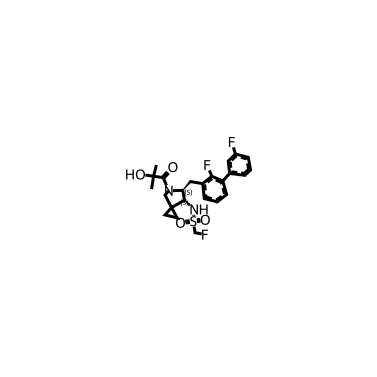 CC(C)(O)C(=O)N1CC2(CC2)[C@H](NS(=O)(=O)CF)[C@@H]1Cc1cccc(-c2cccc(F)c2)c1F